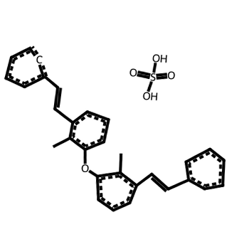 Cc1c(C=Cc2ccccc2)cccc1Oc1cccc(C=Cc2ccccc2)c1C.O=S(=O)(O)O